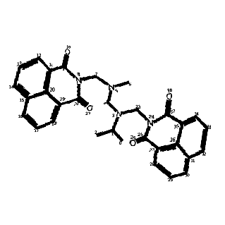 CC(C)N(CN(C)CN1C(=O)c2cccc3cccc(c23)C1=O)CN1C(=O)c2cccc3cccc(c23)C1=O